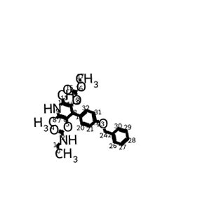 CCNC(=O)OC1=C(C)NC(C)=C(OC(=O)OC)C1c1ccc(OCc2ccccc2)cc1